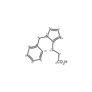 O=C(O)CSc1nccn1Cc1ccccc1